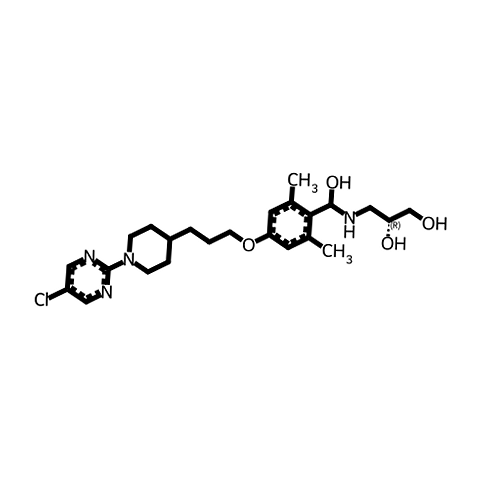 Cc1cc(OCCCC2CCN(c3ncc(Cl)cn3)CC2)cc(C)c1C(O)NC[C@@H](O)CO